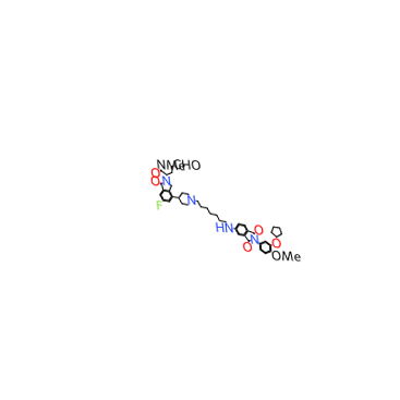 CNC(=O)C(CCC=O)N1Cc2c(cc(F)cc2C2CCN(CCCCCCCNc3ccc4c(c3)C(=O)N(c3ccc(OC)c(OC5CCCC5)c3)C4=O)CC2)C1=O